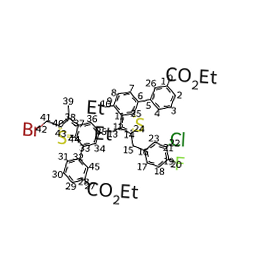 CCOC(=O)c1cccc(-c2ccc(CC)c3c(CC)c(Cc4ccc(F)c(Cl)c4)sc23)c1.CCOC(=O)c1cccc(-c2cccc3c(C)c(CBr)sc23)c1